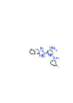 Cc1cccc(Nc2cc(N)cc(C(=N)NC3Cc4ccccc4C3)n2)c1